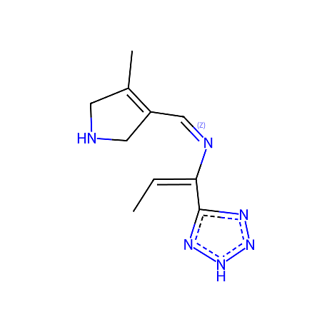 CC=C(/N=C\C1=C(C)CNC1)c1nn[nH]n1